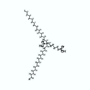 CCCCCCCCCCCCCCCCCCC(CCCCCCCCCCCCCCCCCC)(CCCCCCC(=O)O)C(=O)O